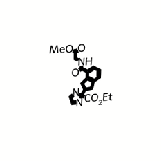 CCOC(=O)C1(C2Cc3cccc(C(=O)NCC(=O)OC)c3C2)N=CC=N1